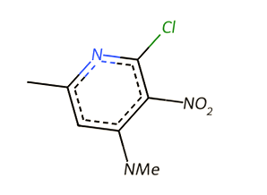 CNc1cc(C)nc(Cl)c1[N+](=O)[O-]